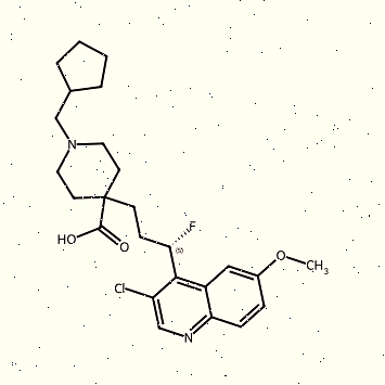 COc1ccc2ncc(Cl)c([C@@H](F)CCC3(C(=O)O)CCN(CC4CCCC4)CC3)c2c1